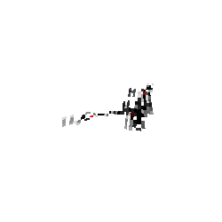 CCCCCCCCCCCCCCCCCC(=O)O[C@]1(C(=O)CO)CC[C@H]2[C@@H]3CCC4=CC(=O)CC[C@]4(C)C3=CC[C@@]21C